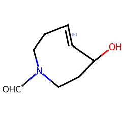 O=CN1CC/C=C/C(O)CC1